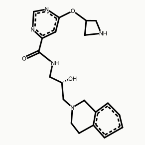 O=C(NC[C@H](O)CN1CCc2ccccc2C1)c1cc(OC2CNC2)ncn1